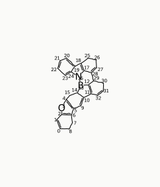 C1=Cc2oc3c(c2CC1)C=C1C2=C4B(C1C3)n1c3c(c5ccccc51)CCC=C3C4CC=C2